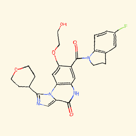 O=C(c1cc2[nH]c(=O)c3cnc(C4CCOCC4)n3c2cc1OCCO)N1CCc2cc(F)ccc21